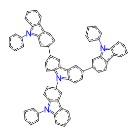 c1ccc(-n2c3ccccc3c3cc(-n4c5ccc(-c6ccc7c8ccccc8n(-c8ccccc8)c7c6)cc5c5cc(-c6ccc7c8ccccc8n(-c8ccccc8)c7c6)ccc54)ccc32)cc1